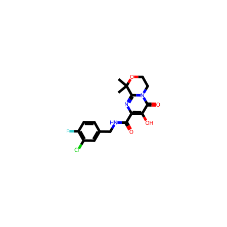 CC1(C)OCCn2c1nc(C(=O)NCc1ccc(F)c(Cl)c1)c(O)c2=O